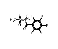 CN(C(=O)c1c(F)c(F)c(F)c(F)c1F)S(C)(=O)=O